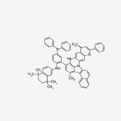 C=C1C=C(c2ccccc2)Oc2cc3c(cc21)Bc1c(-c2cc(N(c4ccccc4)c4ccccc4)ccc2Nc2ccc4c(c2)C(C)(C)CCC4(C)C)cc(C)c2c4c5ccccc5ccc4n-3c12